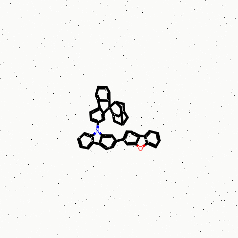 c1ccc2c(c1)-c1ccc(-n3c4ccccc4c4ccc(-c5ccc6c(c5)oc5ccccc56)cc43)cc1C21C2CC3CC(C2)CC1C3